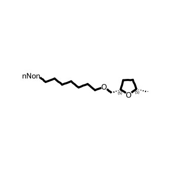 [CH2][C@H]1CC[C@@H](COCCCCCCCCCCCCCCCC)O1